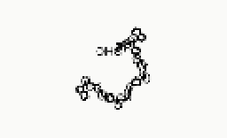 CC(COOC(c1ccc(OCOC(C)COC(=O)c2ccc(OCOC(C)COC(=O)c3ccc(OCOC(C)COC(=O)c4cccc5ccccc45)cc3)cc2)cc1)c1cccc2ccccc12)OC=O